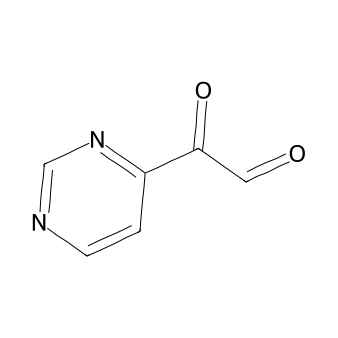 O=CC(=O)c1ccncn1